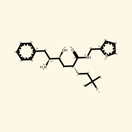 CC(C)(F)CC[C@H](C[C@H](O)[C@@H](N)Cc1ccccc1)C(=O)NCc1cccs1